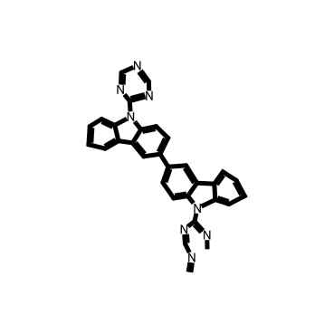 C=N/C=N\C(=N/C)n1c2ccccc2c2cc(-c3ccc4c(c3)c3ccccc3n4-c3ncncn3)ccc21